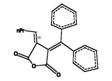 CCC/C=C1\C(=O)OC(=O)C1=C(c1ccccc1)c1ccccc1